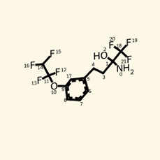 NC(O)(CCc1cccc(OC(F)(F)C(F)F)c1)C(F)(F)F